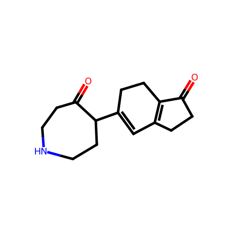 O=C1CCC2=C1CCC(C1CCNCCC1=O)=C2